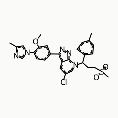 COc1cc(-c2nnc3n(C(CCS(C)(=O)=O)c4ccc(C)cc4)cc(Cl)cc2-3)ccc1-n1cnc(C)c1